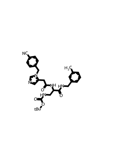 Cc1cccc(CNC(=O)C(CNC(=O)OC(C)(C)C)NC(=O)Cc2cncn2Cc2ccc(C#N)cc2)c1